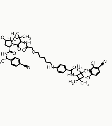 C[C@H](NC(=O)[C@@H]1C[C@@H](O)CN1C(=O)C(NC(=O)COCCCCCNc1ccc(C(=O)N[C@H]2C(C)(C)[C@H](Oc3ccc(C#N)c(Cl)c3)C2(C)C)cc1)C(C)(C)C)c1ccc(C#N)cc1